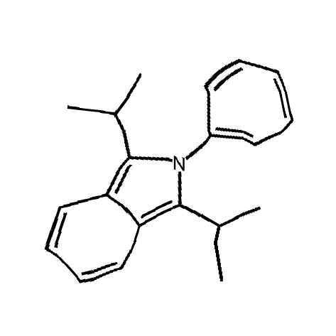 CC(C)c1c2ccccc2c(C(C)C)n1-c1ccccc1